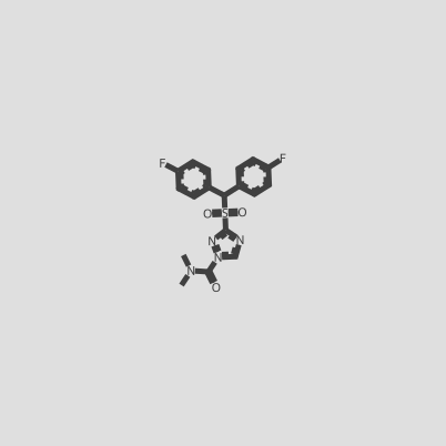 CN(C)C(=O)n1cnc(S(=O)(=O)C(c2ccc(F)cc2)c2ccc(F)cc2)n1